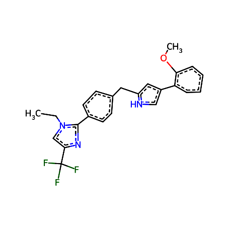 CCn1cc(C(F)(F)F)nc1-c1ccc(Cc2cc(-c3ccccc3OC)c[nH]2)cc1